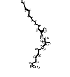 CCCCCCCCCCCC(=O)OCC(C)(C)C=NCCCCCCN